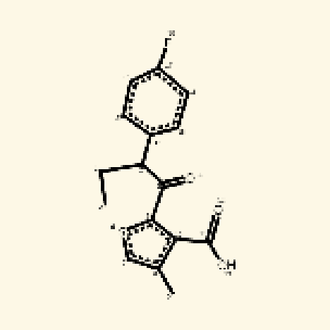 CCC(C(=O)c1scc(C)c1C(=O)O)c1ccc(F)cc1